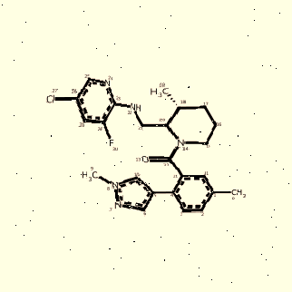 Cc1ccc(-c2cnn(C)c2)c(C(=O)N2CCC[C@@H](C)C2CNc2ncc(Cl)cc2F)c1